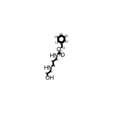 O=C(NCCCNCCO)OCc1ccccc1